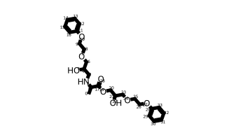 CC(NCC(O)COCCOc1ccccc1)C(=O)OCC(O)COCCOc1ccccc1